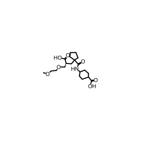 COCCOC[C@H](CC1(C(=O)NC2CCC(C(=O)O)CC2)CCCC1)C(=O)O